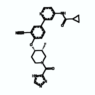 N#Cc1cc(-c2cc(NC(=O)C3CC3)ccn2)ccc1O[C@H]1CCN(C(=O)c2nnc[nH]2)C[C@H]1F